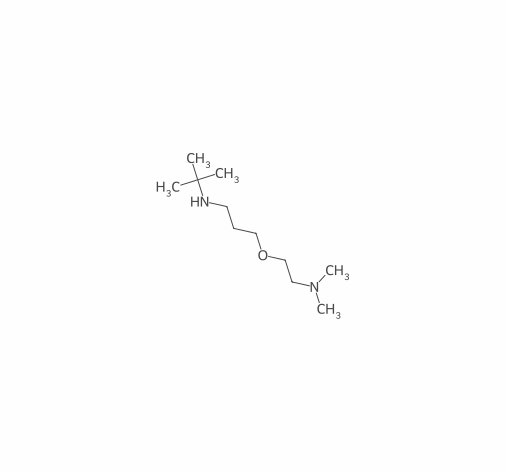 CN(C)CCOCCCNC(C)(C)C